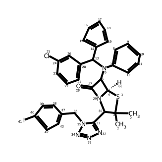 CC1(C)S[C@@H]2C(N(c3ccccc3)C(c3ccccc3)c3cccc(Cl)c3)C(=O)N2C1c1nnnn1Cc1ccc(I)cc1